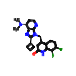 CN(C)c1ccnc2c1nc(C1=CC=C1)n2Cc1cc(=O)[nH]c2c(F)c(F)ccc12